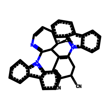 C[C@@H]1CC=CN=C(n2c3ccccc3c3ccccc32)C1C1=C(n2c3ccccc3c3ccccc32)CC(C#N)C(C#N)=C1